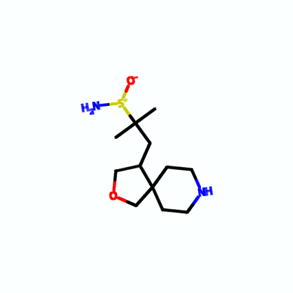 CC(C)(CC1COCC12CCNCC2)[S+](N)[O-]